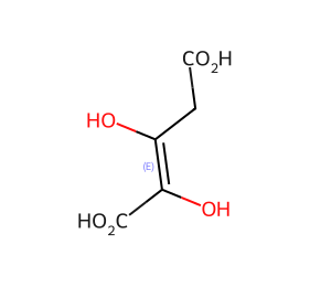 O=C(O)C/C(O)=C(\O)C(=O)O